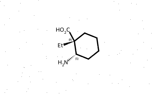 CC[C@@]1(C(=O)O)CCCC[C@@H]1N